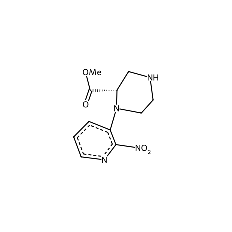 COC(=O)[C@@H]1CNCCN1c1cccnc1[N+](=O)[O-]